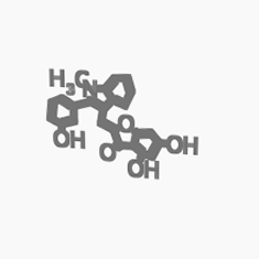 Cn1c(-c2cccc(O)c2)c(C=C2Oc3cc(O)cc(O)c3C2=O)c2ccccc21